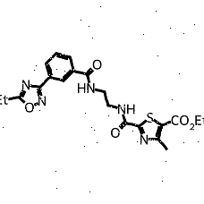 CCOC(=O)c1sc(C(=O)NCCNC(=O)c2cccc(-c3noc(CC)n3)c2)nc1C